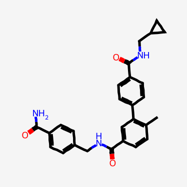 Cc1ccc(C(=O)NCc2ccc(C(N)=O)cc2)cc1-c1ccc(C(=O)NCC2CC2)cc1